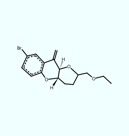 C=C1c2cc(Br)ccc2O[C@H]2CCC(COCC)O[C@H]12